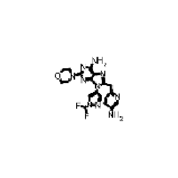 Nc1ccc(Cc2nc3c(N)nc(N4CCOCC4)nc3n2-c2cnn(C(F)F)c2)nc1